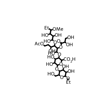 CCOC1OC(CO)C(OC2OC(C(=O)O)C(OC(O)C(OC(=O)C(O)CO)C(OC(O)C(O)C(O)C(CC)OC)C(O)CCOC(C)=O)C(O)C2O)C(O)C1O